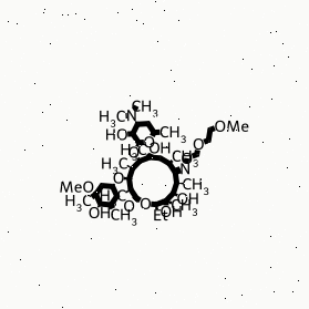 CC[C@H]1OC(=O)[C@H](C)[C@@H](O[C@@H]2CC(C)[C@H](O)[C@@](C)(OC)C2)[C@H](C)[C@@H](O[C@@H]2OC(C)C[C@@H](N(C)C)C2O)[C@](C)(O)C[C@@H](C)/C(=N\OCOCCOC)[C@H](C)[C@@H](O)[C@]1(C)O